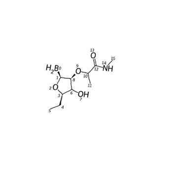 B[C@@H]1O[C@H](CC)C(O)[C@@H]1OC(C)C(=O)NC